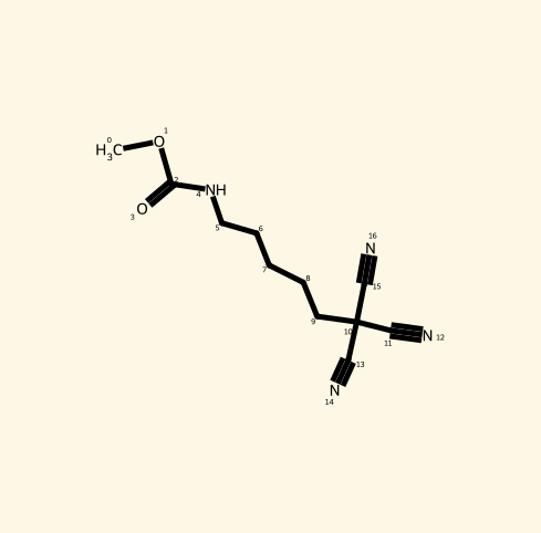 COC(=O)NCCCCCC(C#N)(C#N)C#N